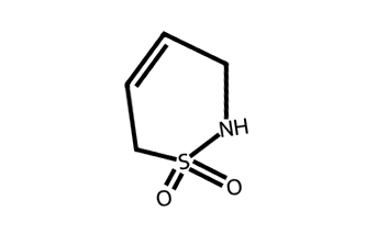 O=S1(=O)CC=CCN1